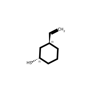 C=C[C@H]1CCC[C@H](S)C1